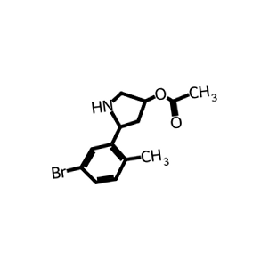 CC(=O)OC1CNC(c2cc(Br)ccc2C)C1